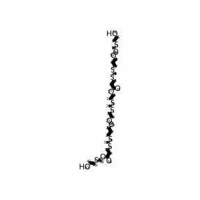 O=C(CCSCSCCCOOCSCCO)OCCSCSCCOOCCCSCSCCC(=O)OCSCCO